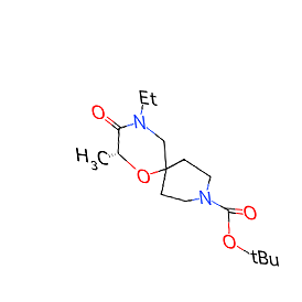 CCN1CC2(CCN(C(=O)OC(C)(C)C)CC2)O[C@H](C)C1=O